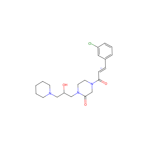 O=C(/C=C/c1cccc(Cl)c1)N1CCN(CC(O)CN2CCCCC2)C(=O)C1